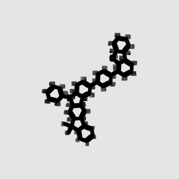 CC1(C)c2ccccc2-c2cc3c4cc(-c5ccc(-c6cccc7c6oc6ccccc67)cc5)ccc4n(-c4ccccc4)c3cc21